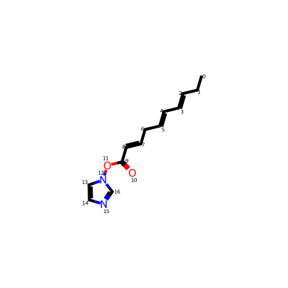 CCC=CC=CCC=CC(=O)On1ccnc1